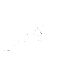 N#CCC1OCC2(CO1)COC(Cc1nc(N)nc(N)n1)OC2